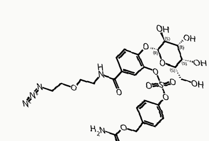 [N-]=[N+]=NCCOCCNC(=O)c1ccc(O[C@H]2O[C@@H](CO)[C@@H](O)[C@@H](O)[C@@H]2O)c(OS(=O)(=O)Oc2ccc(COC(N)=O)cc2)c1